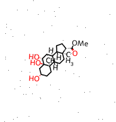 COC(=O)[C@H]1CC[C@H]2[C@@H]3C[C@@H](O)[C@@]4(O)C[C@@H](O)CC[C@]4(C)[C@H]3CC[C@]12C